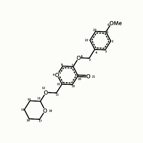 COc1ccc(COc2coc(COC3CCCCO3)cc2=O)cc1